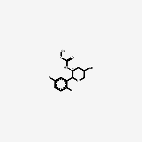 CC(C)(C)OC(=O)N[C@H]1CC(O)COC1c1cc(F)ccc1F